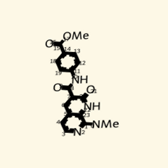 CNc1nccc2cc(C(=O)Nc3ccc(C(=O)OC)cc3)c(=O)[nH]c12